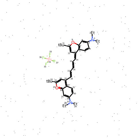 CCN(CC)c1ccc2c(c1)OC(C(C)(C)C)=C\C2=C/C=C/C=C/c1cc(C(C)(C)C)[o+]c2cc(N(CC)CC)ccc12.F[B-](F)(F)F